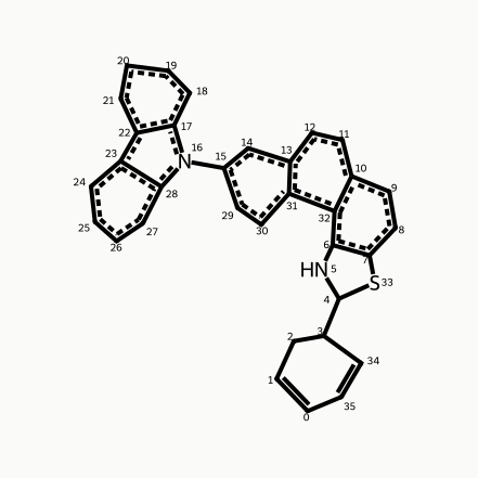 C1=CCC(C2Nc3c(ccc4ccc5cc(-n6c7ccccc7c7ccccc76)ccc5c34)S2)C=C1